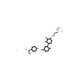 Cc1ccc(COc2ccc3c(c2)OC[C@H]3CC(=O)O)cc1-c1ccc(OCCCS(C)(=O)=O)c(Cl)c1C